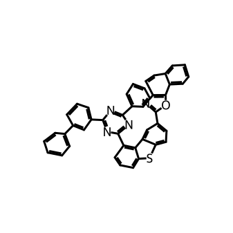 c1ccc(-c2cccc(-c3nc(-c4ccccc4)nc(-c4cccc5sc6ccc(-c7nc8ccc9ccccc9c8o7)cc6c45)n3)c2)cc1